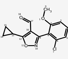 COc1cccc(Cl)c1-c1noc(C2CC2)c1C=O